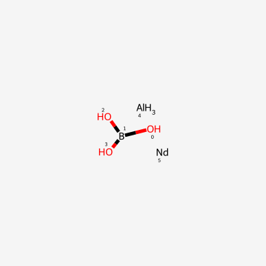 OB(O)O.[AlH3].[Nd]